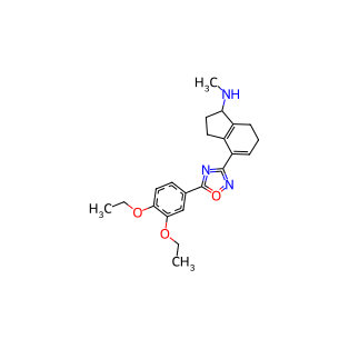 CCOc1ccc(-c2nc(C3=CCCC4=C3CCC4NC)no2)cc1OCC